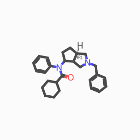 O=C(C1CCCCC1)N(c1ccccc1)C1CC[C@H]2CN(Cc3ccccc3)CC12